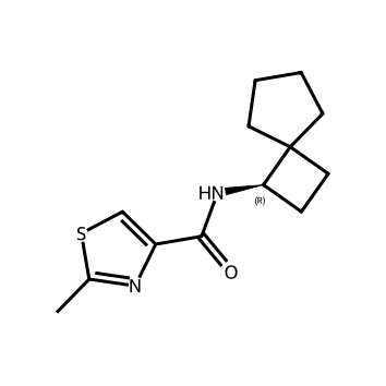 Cc1nc(C(=O)N[C@@H]2CCC23CCCC3)cs1